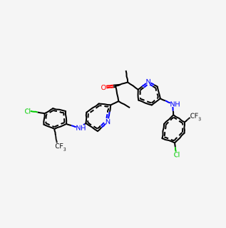 CC(C(=O)C(C)c1ccc(Nc2ccc(Cl)cc2C(F)(F)F)cn1)c1ccc(Nc2ccc(Cl)cc2C(F)(F)F)cn1